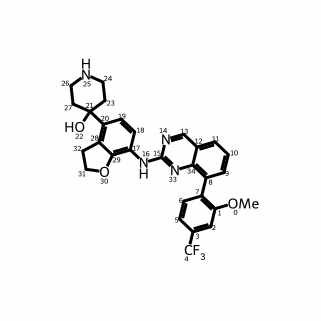 COc1cc(C(F)(F)F)ccc1-c1cccc2cnc(Nc3ccc(C4(O)CCNCC4)c4c3OCC4)nc12